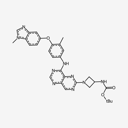 Cc1cc(Nc2ncnc3cnc(N4CC(NC(=O)OC(C)(C)C)C4)nc23)ccc1Oc1ccc2c(c1)ncn2C